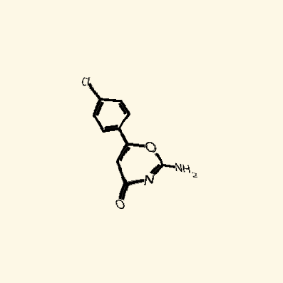 Nc1nc(=O)cc(-c2ccc(Cl)cc2)o1